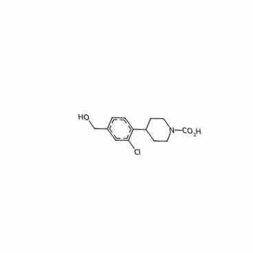 O=C(O)N1CCC(c2ccc(CO)cc2Cl)CC1